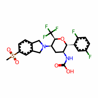 CS(=O)(=O)c1ccc2c(c1)CN([C@@H]1C[C@H](NC(=O)O)[C@@H](c3cc(F)ccc3F)O[C@@H]1C(F)(F)F)C2